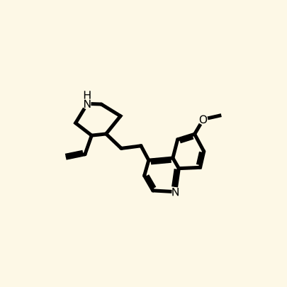 C=CC1CNCCC1CCc1ccnc2ccc(OC)cc12